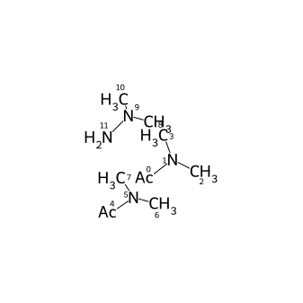 CC(=O)N(C)C.CC(=O)N(C)C.CN(C)N